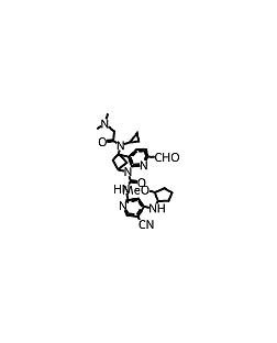 COC1CCCC1Nc1cc(NC(=O)N2c3nc(C=O)ccc3C3(N(C(=O)CN(C)C)C4CC4)CC2C3)ncc1C#N